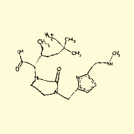 CNCc1nc(CN2CCN([C@H](C(=O)O)C(C)CC(C)(C)C)C2=O)cs1